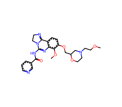 COCCN1CCOC(COc2ccc3c(c2OC)N=C(NC(=O)c2cccnc2)N2CCN=C32)C1